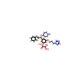 CN1CCC(OC(c2cccc(OCCCn3cncn3)c2)c2nc3ccccc3s2)CC1.O=C(O)C(=O)O